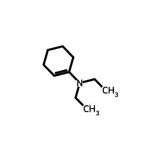 CCN(CC)C1=CCCCC1